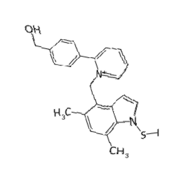 Cc1cc(C)c2c(ccn2SI)c1C[n+]1ccccc1-c1ccc(CO)cc1